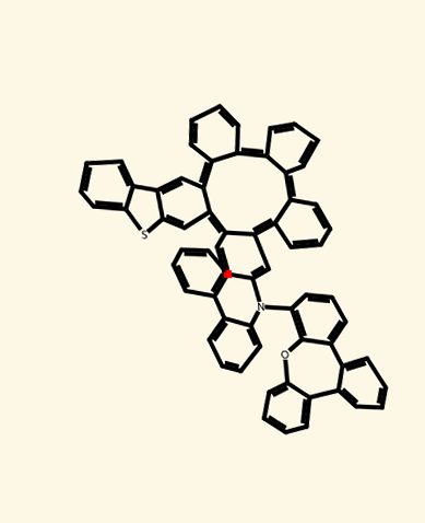 c1ccc(-c2ccccc2N(c2ccc3c(c2)c2ccccc2c2ccccc2c2ccccc2c2cc4c(cc32)sc2ccccc24)c2cccc3c2Oc2ccccc2-c2ccccc2-3)cc1